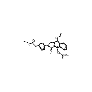 CCOC(=O)Cc1ccc(N2Cc3c(c(OC(C)CC)c4ccccc4c3OCC)C2=O)cc1